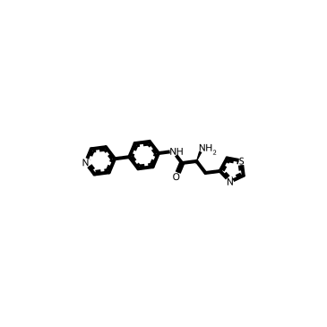 N[C@@H](Cc1cscn1)C(=O)Nc1ccc(-c2ccncc2)cc1